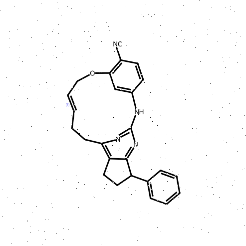 [C-]#[N+]c1ccc2cc1OC/C=C/CCc1nc(nc3c1CCC3c1ccccc1)N2